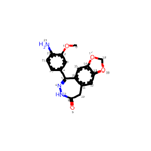 COc1cc(C2=NNC(=O)Cc3cc4c(cc32)OCO4)ccc1N